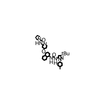 Cc1ccc(-n2nc(C(C)(C)C)cc2NC(=O)Nc2ccc(Oc3ccnc(NC(=O)N4CCCC4)c3)c3ccccc23)cc1